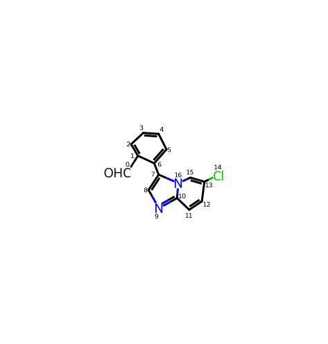 O=Cc1ccccc1-c1cnc2ccc(Cl)cn12